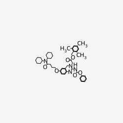 Cc1cc(C)c(COC(=O)CN2Cc3cc(OCCCC(=O)N(C4CCCCC4)C4CCCCC4)ccc3N=C2NC(=O)Oc2ccccc2)c(C)c1